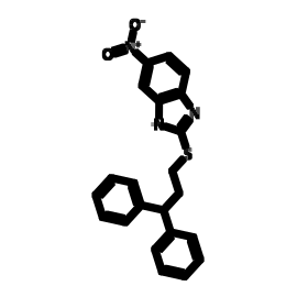 O=[N+]([O-])c1ccc2c(c1)[N]C(SCCC(c1ccccc1)c1ccccc1)=N2